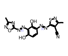 Cc1noc(/N=N/c2c(O)ccc(/N=N/c3snc(C)c3C#N)c2O)n1